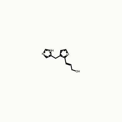 OCC=Cc1sccc1Cc1cnc[nH]1